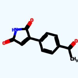 CC(=O)c1ccc(C2=CC(=O)NC2=O)cc1